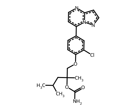 CC(C)CC(C)(COc1ccc(-c2ccnc3ccnn23)cc1Cl)OC(N)=O